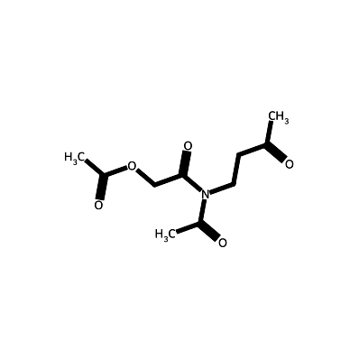 CC(=O)CCN(C(C)=O)C(=O)COC(C)=O